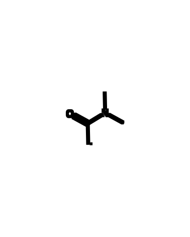 [CH2]C(=O)N(C)C